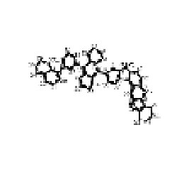 CC1(C)c2cc(-c3c4ccccc4c(-c4cccc(-c5cccc6ccccc56)c4)c4ccccc34)ccc2-c2c1ccc1cc3c4c(sc3cc21)CCC=C4